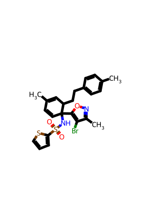 CC1=CC(CCc2ccc(C)cc2)C(NS(=O)(=O)c2cccs2)(c2onc(C)c2Br)C=C1